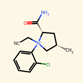 C[C@H]1C[C@@H](C(N)=O)[N+](CC#N)(c2ccccc2Cl)C1